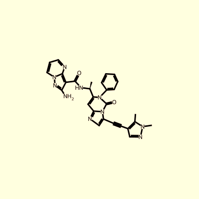 Cc1c(C#Cc2cnc3cc([C@H](C)NC(=O)c4c(N)nn5cccnc45)n(-c4ccccc4)c(=O)n23)cnn1C